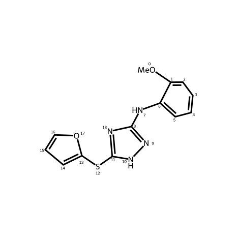 COc1ccccc1Nc1n[nH]c(Sc2ccco2)n1